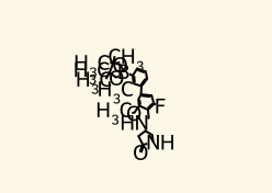 COc1cc(-c2cccc(B3OC(C)(C)C(C)(C)O3)c2C)cc(F)c1CN[C@@H]1CNC(=O)C1